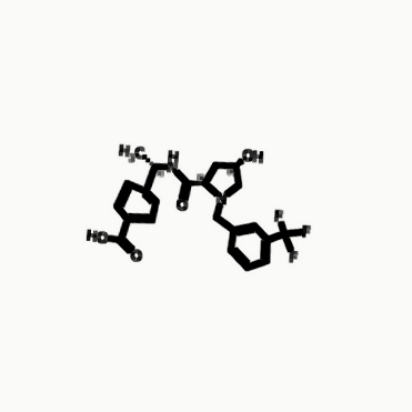 C[C@H](NC(=O)[C@H]1C[C@@H](O)CN1Cc1cccc(C(F)(F)F)c1)c1ccc(C(=O)O)cc1